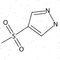 CS(=O)(=O)C1=C[N]N=C1